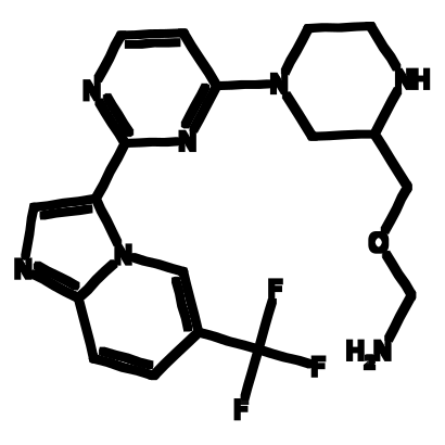 NCOCC1CN(c2ccnc(-c3cnc4ccc(C(F)(F)F)cn34)n2)CCN1